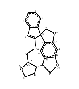 c1ccc2c(c1)N=C(SC[C@H]1CCCO1)C21COc2cc3c(cc21)CCO3